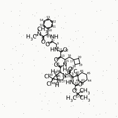 CN(C)C(=O)[C@@H](NC(=O)CNC(=O)C(=O)C(CC1CCC1)NC(=O)[C@@H]1[C@@H]2[C@H](CN1C(=O)[C@@H](NC(=O)OC(C)(C)C)C1(C)CCCCC1)C2(Cl)Cl)c1ccccc1